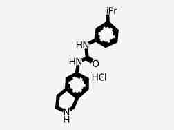 CC(C)c1cccc(NC(=O)Nc2ccc3c(c2)CCNC3)c1.Cl